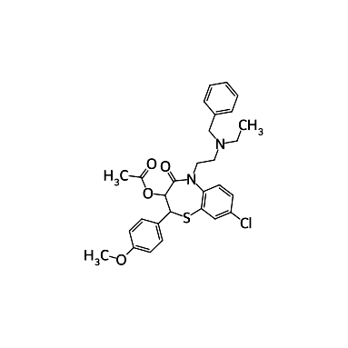 CCN(CCN1C(=O)C(OC(C)=O)C(c2ccc(OC)cc2)Sc2cc(Cl)ccc21)Cc1ccccc1